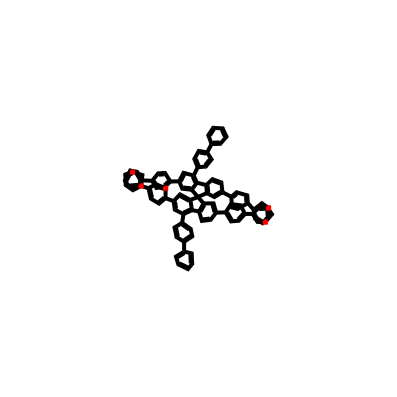 c1ccc(-c2ccc(-c3ccc4c(c3)C3(c5cc(-c6ccc(-c7ccccc7)cc6)ccc5-c5c(-c6ccc(-c7ccccc7)cc6)cc(-c6ccc(-c7ccccc7)cc6)cc53)c3cc(-c5ccc(-c6ccccc6)cc5)cc(-c5ccc(-c6ccccc6)cc5)c3-4)cc2)cc1